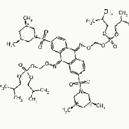 CC(C)COP(=O)(OCON=C1c2ccc(S(=O)(=O)N3C[C@H](C)C[C@H](C)C3)cc2C(=NOCOP(=O)(OCC(C)C)OCC(C)C)c2cc(S(=O)(=O)N3C[C@H](C)C[C@H](C)C3)ccc21)OCC(C)C